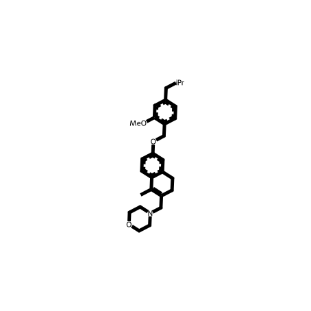 COc1cc(CC(C)C)ccc1COc1ccc2c(c1)CCC(CN1CCOCC1)=C2C